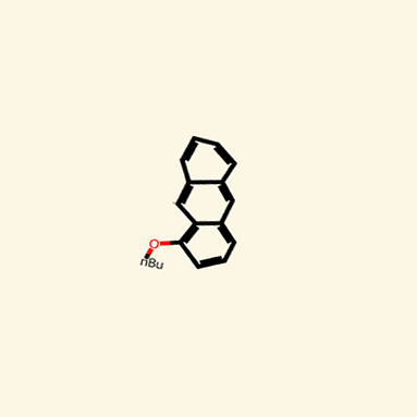 CCCCOc1cccc2cc3ccccc3[c]c12